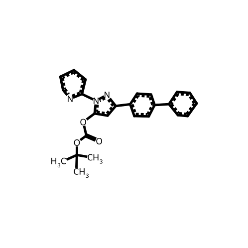 CC(C)(C)OC(=O)Oc1cc(-c2ccc(-c3ccccc3)cc2)nn1-c1ccccn1